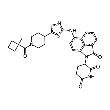 CC1(C(=O)N2CCC(c3cnc(Nc4ccc5c6c(cccc46)C(=O)N5C4CCC(=O)NC4=O)s3)CC2)CCC1